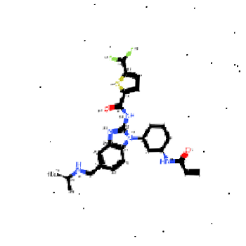 C=CC(=O)N[C@@H]1CCCC(n2c(NC(=O)c3ccc(C(F)F)s3)nc3cc(CN[C@@H](C)C(C)(C)C)ccc32)C1